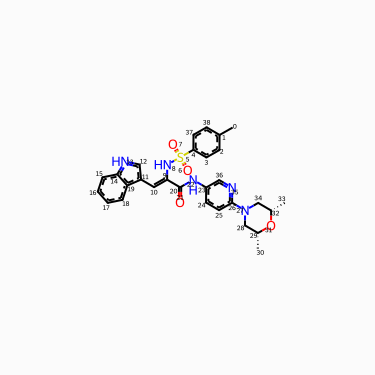 Cc1ccc(S(=O)(=O)NC(=Cc2c[nH]c3ccccc23)C(=O)Nc2ccc(N3C[C@@H](C)O[C@@H](C)C3)nc2)cc1